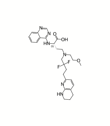 COCCN(CC[C@H](Nc1ncnc2ccccc12)C(=O)O)CC(F)(F)CCc1ccc2c(n1)NCCC2